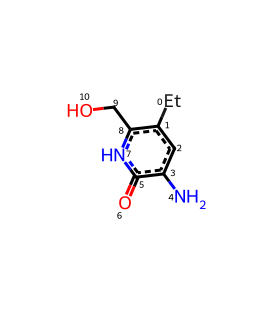 CCc1cc(N)c(=O)[nH]c1CO